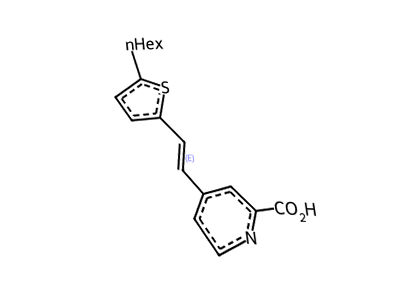 CCCCCCc1ccc(/C=C/c2ccnc(C(=O)O)c2)s1